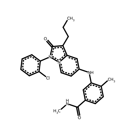 CCCc1c(=O)n(-c2ccccc2Cl)n2ccc(Nc3cc(C(=O)NC)ccc3C)cc12